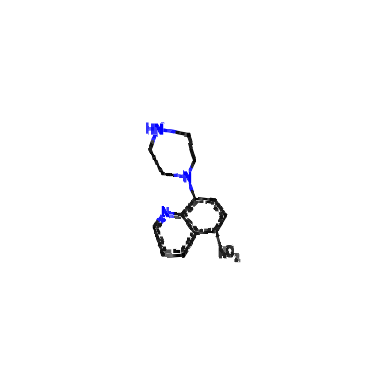 O=[N+]([O-])c1ccc(N2CCNCC2)c2ncccc12